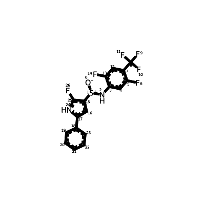 [O-][S+](Nc1cc(F)c(C(F)(F)F)cc1F)c1cc(-c2ccccc2)[nH]c1F